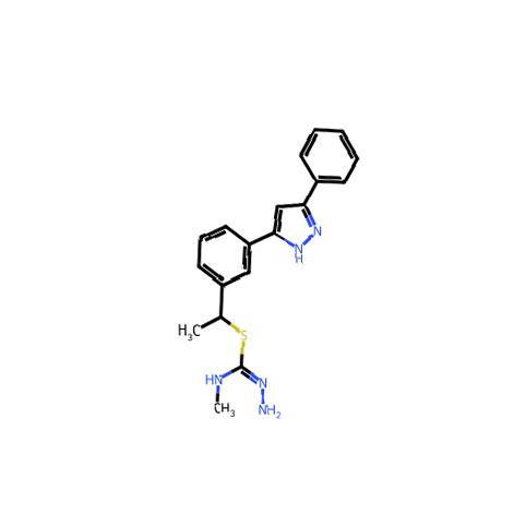 CN/C(=N\N)SC(C)c1cccc(-c2cc(-c3ccccc3)n[nH]2)c1